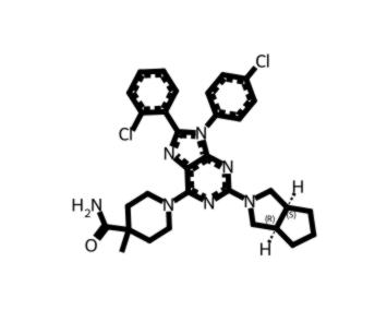 CC1(C(N)=O)CCN(c2nc(N3C[C@H]4CCC[C@H]4C3)nc3c2nc(-c2ccccc2Cl)n3-c2ccc(Cl)cc2)CC1